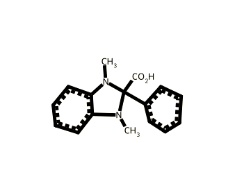 CN1c2ccccc2N(C)C1(C(=O)O)c1ccccc1